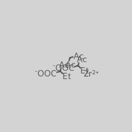 CC(=O)CC(C)=O.CCC(C(C)=O)C(=O)[O-].CCC(C(C)=O)C(=O)[O-].[Zr+2]